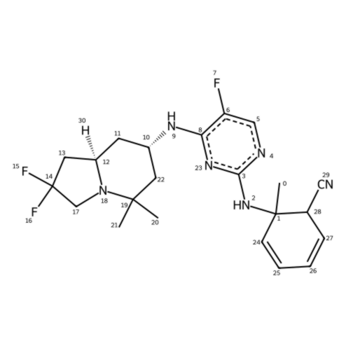 CC1(Nc2ncc(F)c(N[C@H]3C[C@@H]4CC(F)(F)CN4C(C)(C)C3)n2)C=CC=CC1C#N